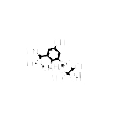 CCN(C)C(=N)c1cc(C)cc(B2OC(C)(C)C(C)(C)O2)c1C